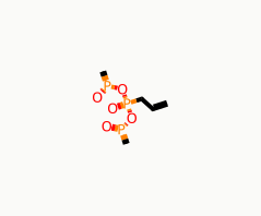 C=CCP(=O)(OP(=C)=O)OP(=C)=O